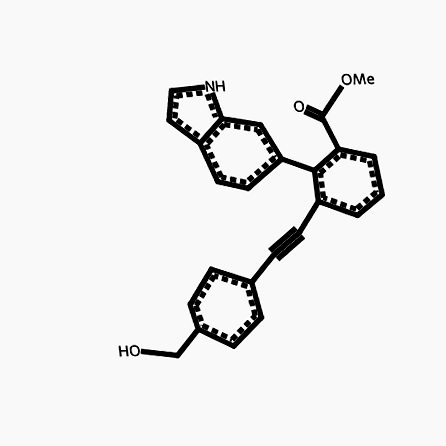 COC(=O)c1cccc(C#Cc2ccc(CO)cc2)c1-c1ccc2cc[nH]c2c1